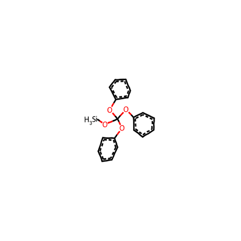 [SiH3]OC(Oc1ccccc1)(Oc1ccccc1)Oc1ccccc1